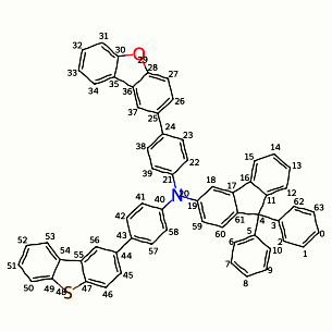 c1ccc(C2(c3ccccc3)c3ccccc3-c3cc(N(c4ccc(-c5ccc6oc7ccccc7c6c5)cc4)c4ccc(-c5ccc6sc7ccccc7c6c5)cc4)ccc32)cc1